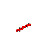 c1ccc2cc3c(cc2c1)sc1c2cc4ccc(-c5ccc6cc(-c7ccc8cc(-c9cc%10ccccc%10s9)sc8c7)ccc6c5)cc4cc2sc31